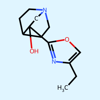 CCc1coc(C2(O)CN3CCC2CC3)n1